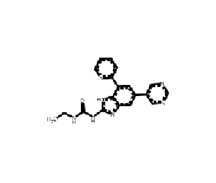 CCNC(=O)Nc1nc2cc(-c3cncnc3)cc(-c3ccccn3)c2[nH]1